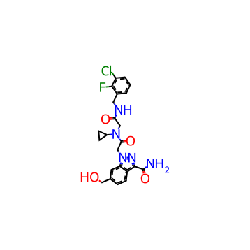 NC(=O)c1nn(CC(=O)N(CC(=O)NCc2cccc(Cl)c2F)C2CC2)c2cc(CO)ccc12